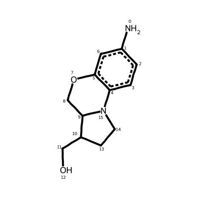 Nc1ccc2c(c1)OCC1C(CO)CCN21